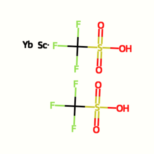 O=S(=O)(O)C(F)(F)F.O=S(=O)(O)C(F)(F)F.[Sc].[Yb]